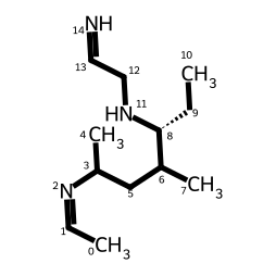 C/C=N\C(C)CC(C)[C@@H](CC)NCC=N